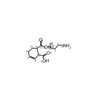 NCCN.O=C(O)C1C=CCCC1C(=O)O